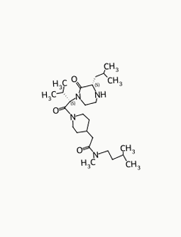 CC(C)CCN(C)C(=O)CC1CCN(C(=O)[C@H](C(C)C)N2CCN[C@@H](CC(C)C)C2=O)CC1